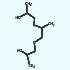 [CH2]C(O)COCC(C)OCC([CH2])O